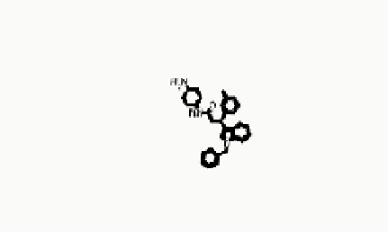 Cc1cccc(C(CC(=O)NC2CCC(N)CC2)c2cn(Cc3ccccc3)c3ccccc23)c1